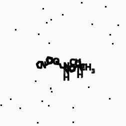 CNC(=O)c1ccc2[nH]c(CCCOc3cccc(CN4CCCCC4)c3)nc2c1C